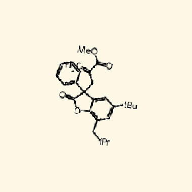 C=C(CC1(c2ccccc2)C(=O)Oc2c(CC(C)C)cc(C(C)(C)C)cc21)C(=O)OC